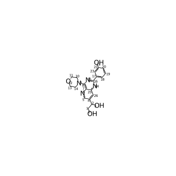 OCC(O)c1cnc2c(N3CCOCC3)nc(-c3cccc(O)c3)nc2c1